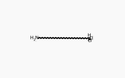 NCCCCCCCCCCCCCCCCCCCCCCCCCCCCCCCCCCCCCC[SiH](Cl)Cl